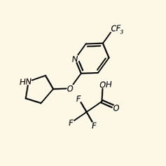 FC(F)(F)c1ccc(OC2CCNC2)nc1.O=C(O)C(F)(F)F